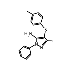 Cc1ccc(Sc2c(C)nn(-c3ccccc3)c2N)cc1